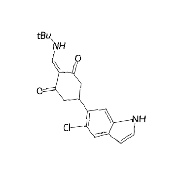 CC(C)(C)NC=C1C(=O)CC(c2cc3[nH]ccc3cc2Cl)CC1=O